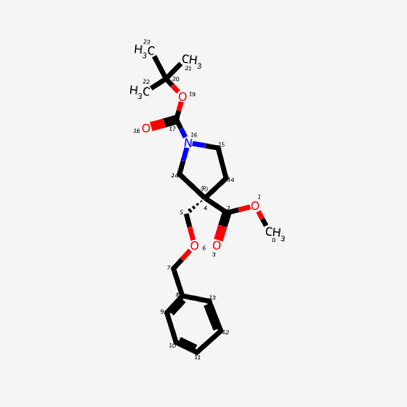 COC(=O)[C@]1(COCc2ccccc2)CCN(C(=O)OC(C)(C)C)C1